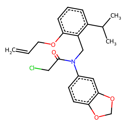 C=CCOc1cccc(C(C)C)c1CN(C(=O)CCl)c1ccc2c(c1)OCO2